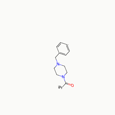 CC(C)C(=O)N1CCN(Cc2cc[c]cc2)CC1